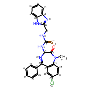 CN1C(=O)C(NC(=S)NCc2nc3ccccc3[nH]2)N=C(c2ccccc2)c2cc(Cl)ccc21